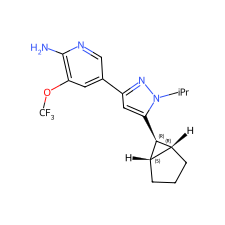 CC(C)n1nc(-c2cnc(N)c(OC(F)(F)F)c2)cc1[C@H]1[C@@H]2CCC[C@@H]21